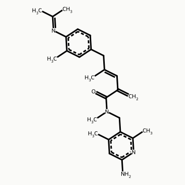 C=C(/C=C(\C)Cc1ccc(N=C(C)C)c(C)c1)C(=O)N(C)Cc1c(C)cc(N)nc1C